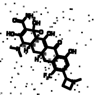 CN1CCC1c1cc(O)c2c(c1C(F)(F)F)C[C@H]1C[C@H]3[C@H](N(C)C)C(O)=C(C(N)=O)C4(O)O[C@]34C(O)=C1C2=O